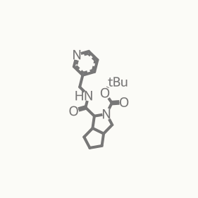 CC(C)(C)OC(=O)N1CC2CCCC2C1C(=O)NCc1cccnc1